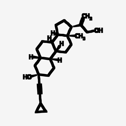 C=C(CO)[C@H]1CC[C@H]2[C@@H]3CC[C@H]4C[C@](O)(C#CC5CC5)CC[C@@H]4[C@H]3CC[C@]12C